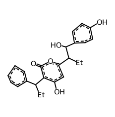 CCC(c1ccccc1)c1c(O)cc(C(CC)C(O)c2ccc(O)cc2)oc1=O